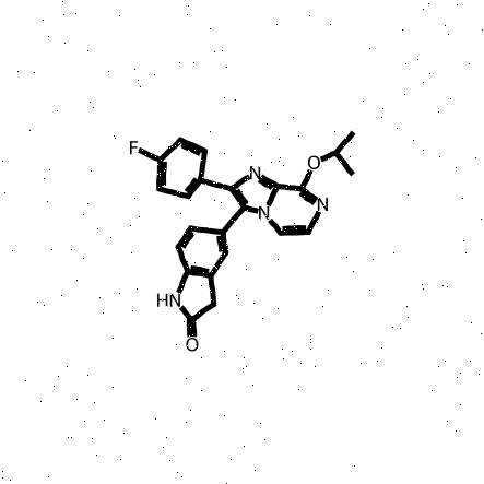 CC(C)Oc1nccn2c(-c3ccc4c(c3)CC(=O)N4)c(-c3ccc(F)cc3)nc12